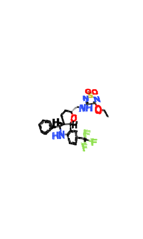 CCOC1=NS(=O)(=O)N=C1NC[C@H]1CC[C@@H]2[C@H](O1)c1cc(C(F)(F)F)ccc1N[C@H]2c1ccccc1